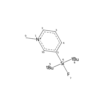 C[n+]1cccc([Si](F)(C(C)(C)C)C(C)(C)C)c1